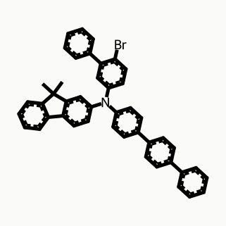 CC1(C)c2ccccc2-c2ccc(N(c3ccc(-c4ccc(-c5ccccc5)cc4)cc3)c3ccc(Br)c(-c4ccccc4)c3)cc21